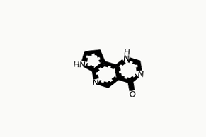 O=c1nc[nH]c2c1cnc1[nH]ccc12